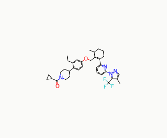 CCc1cc(OCC2=C(c3cccc(-n4ncc(C)c4C(F)(F)F)n3)CCCC2C)ccc1C1CCN(C(=O)C2CC2)CC1